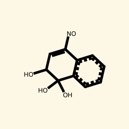 O=NC1=CC(O)C(O)(O)c2ccccc21